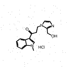 Cl.Cn1cc(C(=O)CCn2ccnc2CO)c2ccccc21